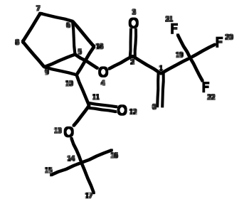 C=C(C(=O)OC1C2CCC1C(C(=O)OC(C)(C)C)C2)C(F)(F)F